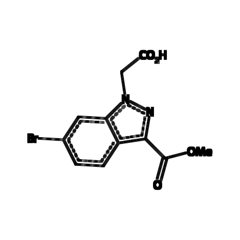 COC(=O)c1nn(CC(=O)O)c2cc(Br)ccc12